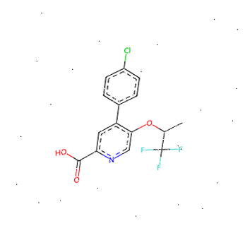 CC(Oc1cnc(C(=O)O)cc1-c1ccc(Cl)cc1)C(F)(F)F